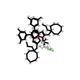 CCCC1(CC2=Cc3c(-c4cc(C)cc(C)c4)cccc3[CH]2[Zr]([CH3])([CH3])(=[SiH2])[CH]2C(CC3(CCC)CCCCCCC3)=Cc3c(-c4cc(C)cc(C)c4)cccc32)CCCCCCC1.Cl.Cl